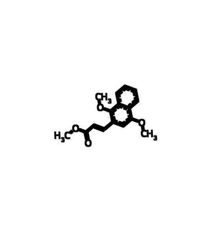 COC(=O)C=Cc1cc(OC)c2ccccc2c1OC